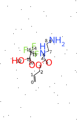 C=CCOC(=O)NCCN.O=C(O)C(F)(F)F